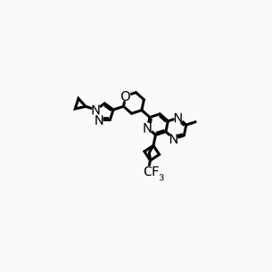 Cc1cnc2c(C34CC(C(F)(F)F)(C3)C4)nc(C3CCOC(c4cnn(C5CC5)c4)C3)cc2n1